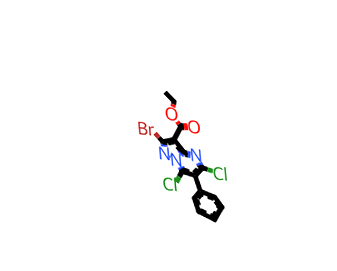 CCOC(=O)c1c(Br)nn2c(Cl)c(-c3ccccc3)c(Cl)nc12